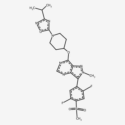 CC(C)c1noc(N2CCC(Oc3ncnc4c(-c5cc(F)c(S(C)(=O)=O)cc5F)n(C)nc34)CC2)n1